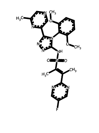 COc1cccc(OC)c1-n1c(NS(=O)(=O)/C(C)=C(\C)c2ncc(F)cn2)nnc1-c1cncc(C)n1